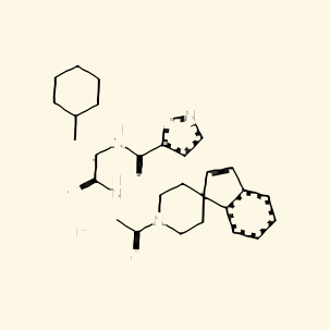 CC[C@@H](C)[C@H](NC(=O)[C@H](CC1CCCCC1)NC(=O)c1ccno1)C(=O)N1CCC2(C=Cc3ccccc32)CC1